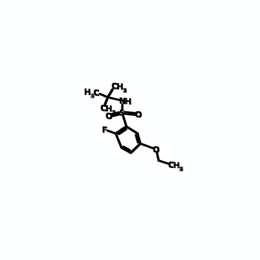 CCOc1ccc(F)c(S(=O)(=O)NC(C)(C)C)c1